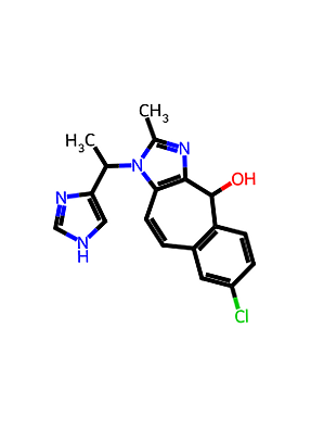 Cc1nc2c(n1C(C)c1c[nH]cn1)C=Cc1cc(Cl)ccc1C2O